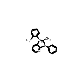 Cc1ccccc1N1c2cccnc2N(c2ccccc2)[C@@H]1C